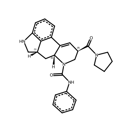 O=C([C@@H]1C=C2c3cccc4c3[C@@H](CN4)C[C@H]2N(C(=O)Nc2ccccc2)C1)N1CCCC1